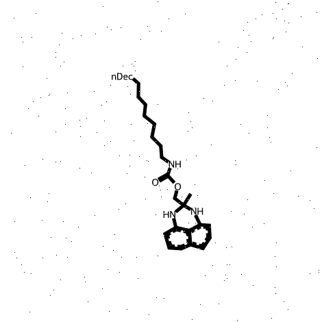 CCCCCCCCCCCCCCCCCCNC(=O)OCC1(C)Nc2cccc3cccc(c23)N1